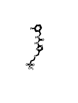 CS(=O)(=O)CCOCc1csc(NC(=O)NCc2cccc(F)c2)n1